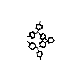 CC1=CCC=C(N(C2=CCC(C)C=C2)C2=CCC(C3(c4ccc(N(c5ccc(C)cc5)c5ccc(C)cc5)cc4)CCCCC3)C=C2)C=C1